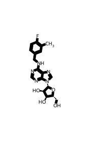 Cc1cc(CNc2ncnc3c2ncn3[C@@H]2O[C@H](CO)[C@@H](O)[C@H]2O)ccc1F